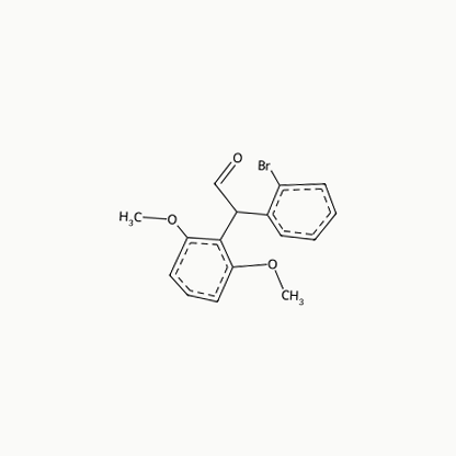 COc1cccc(OC)c1C(C=O)c1ccccc1Br